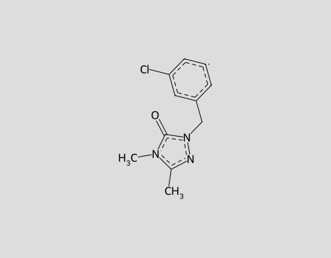 Cc1nn(Cc2c[c]cc(Cl)c2)c(=O)n1C